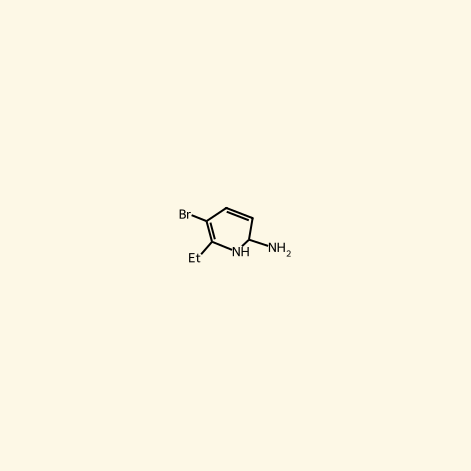 CCC1=C(Br)C=CC(N)N1